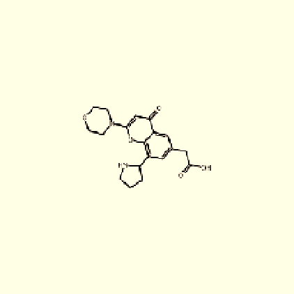 O=C(O)Cc1cc(C2CCCN2)c2oc(N3CCOCC3)cc(=O)c2c1